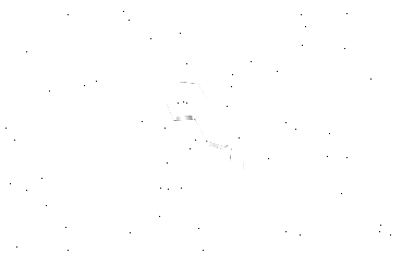 CCOC(=O)C(=NO)C1=CSCCO1